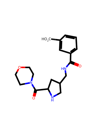 O=C(O)c1cccc(C(=O)NCC2CNC(C(=O)N3CCOCC3)C2)c1